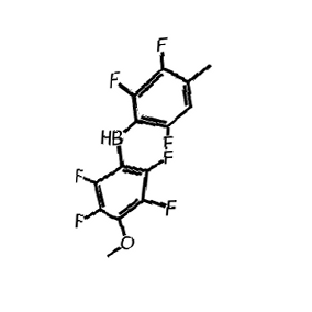 COc1c(F)c(F)c(Bc2c(F)cc(C)c(F)c2F)c(F)c1F